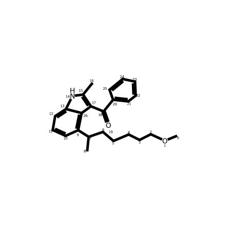 COCCCCCC(C)c1cccc2[nH]c(C)c(C(=O)c3ccccc3)c12